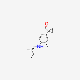 CC/C(C)=C\Nc1ccc(C2(C=O)CC2)cc1C